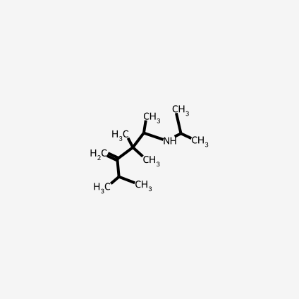 C=C(C(C)C)C(C)(C)C(C)NC(C)C